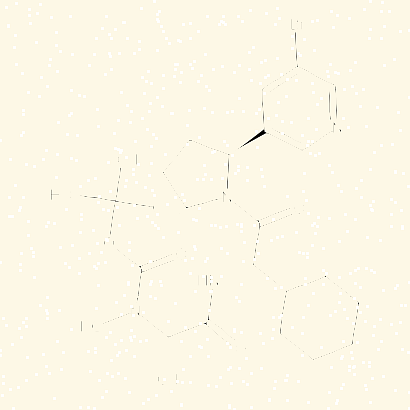 C[C@@H](C(=O)N[C@H](C(=O)N1CCC[C@H]1c1cncc(Br)c1)C1CCCCC1)N(C)C(=O)OC(C)(C)C